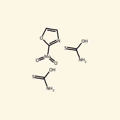 NC(O)=S.NC(O)=S.[O]=[Mo](=[O])[c]1ncco1